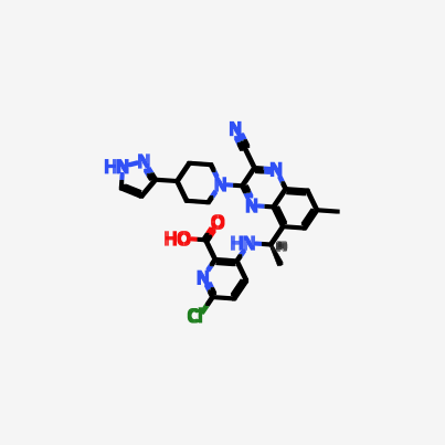 Cc1cc([C@@H](C)Nc2ccc(Cl)nc2C(=O)O)c2nc(N3CCC(c4cc[nH]n4)CC3)c(C#N)nc2c1